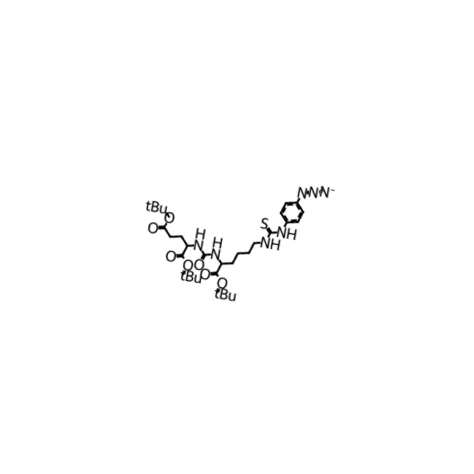 CC(C)(C)OC(=O)CCC(NC(=O)NC(CCCCNC(=S)Nc1ccc(N=[N+]=[N-])cc1)C(=O)OC(C)(C)C)C(=O)OC(C)(C)C